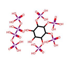 O=P(O)(O)OC1C(O)C(O)C(OP(=O)(O)O)C(OP(=O)(O)O)C1OP(=O)(O)O.O=P(O)(O)OP(=O)(O)P(=O)(O)OP(=O)(O)O